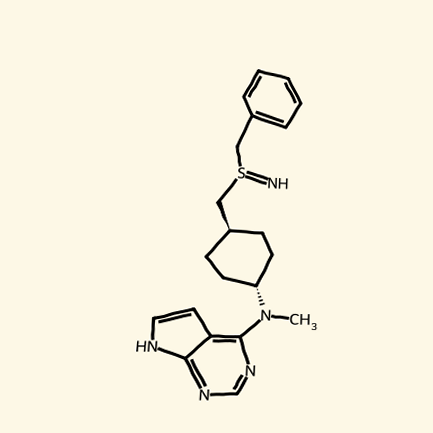 CN(c1ncnc2[nH]ccc12)[C@H]1CC[C@H](CS(=N)Cc2ccccc2)CC1